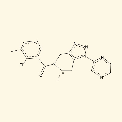 Cc1cccc(C(=O)N2Cc3nnn(-c4cnccn4)c3C[C@@H]2C)c1Cl